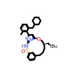 Cc1cccc(CC2CCCCC2)c1-c1cc2nc(n1)N[S+]([O-])c1cccc(c1)CCC[C@H](CC(C)(C)C)CO2